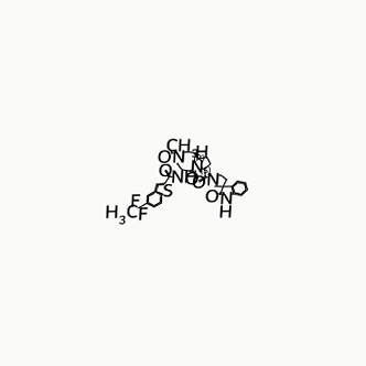 CC(=O)N1CC[C@H]2CC[C@@H](C(=O)N3CCC4(C3)C(=O)Nc3ccccc34)N2C(=O)C(NC(=O)c2cc3cc(C(C)(F)F)ccc3s2)C1